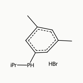 Br.Cc1cc(C)cc(PC(C)C)c1